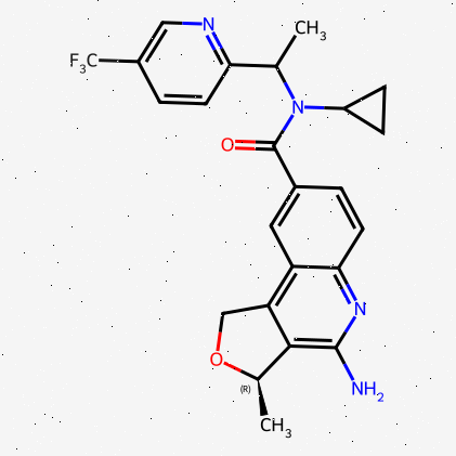 CC(c1ccc(C(F)(F)F)cn1)N(C(=O)c1ccc2nc(N)c3c(c2c1)CO[C@@H]3C)C1CC1